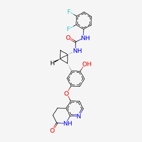 O=C1CCc2c(Oc3ccc(O)c([C@@H]4[C@@H]5C[C@@]45NC(=O)Nc4cccc(F)c4F)c3)ccnc2N1